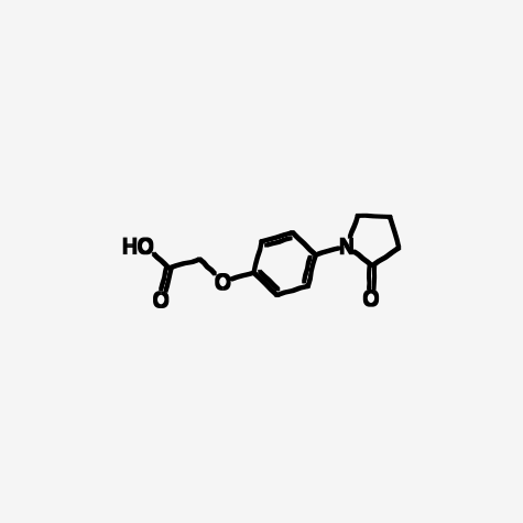 O=C(O)COc1ccc(N2CCCC2=O)cc1